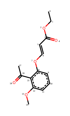 CCOC(=O)C=COc1cccc(OC)c1C(C)=O